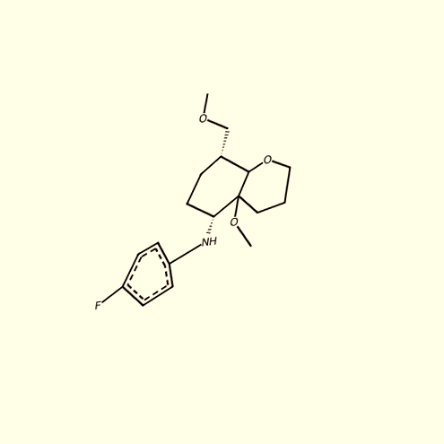 COC[C@H]1CC[C@@H](Nc2ccc(F)cc2)C2(OC)CCCOC12